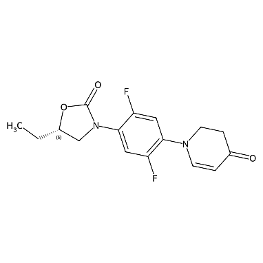 CC[C@H]1CN(c2cc(F)c(N3C=CC(=O)CC3)cc2F)C(=O)O1